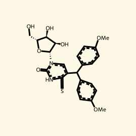 COc1ccc(C(c2ccc(OC)cc2)c2cn([C@@H]3O[C@H](CO)[C@@H](O)[C@H]3O)c(=O)[nH]c2=S)cc1